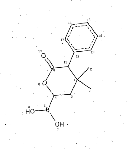 CC1(C)CC(B(O)O)OC(=O)C1c1ccccc1